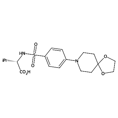 CC(C)[C@H](NS(=O)(=O)c1ccc(N2CCC3(CC2)OCCO3)cc1)C(=O)O